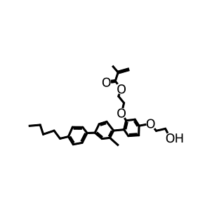 C=C(C)C(=O)OCCOc1cc(OCCO)ccc1-c1ccc(-c2ccc(CCCCC)cc2)cc1C